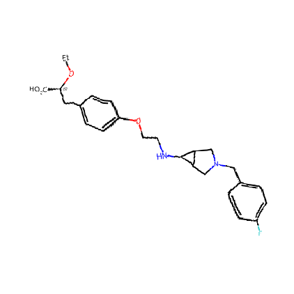 CCO[C@@H](Cc1ccc(OCCNC2C3CN(Cc4ccc(F)cc4)CC32)cc1)C(=O)O